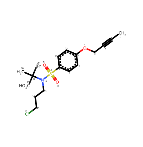 CC#CCOc1ccc(S(=O)(=O)N(CCCCl)C(C)(C(=O)O)C(C)C)cc1